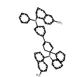 Cc1ccc2c(N(c3ccccc3)c3ccc(C4=CCC(c5ccccc5)(N(c5ccccc5)c5cccc6cc(C)ccc56)C=C4)cc3)cccc2c1